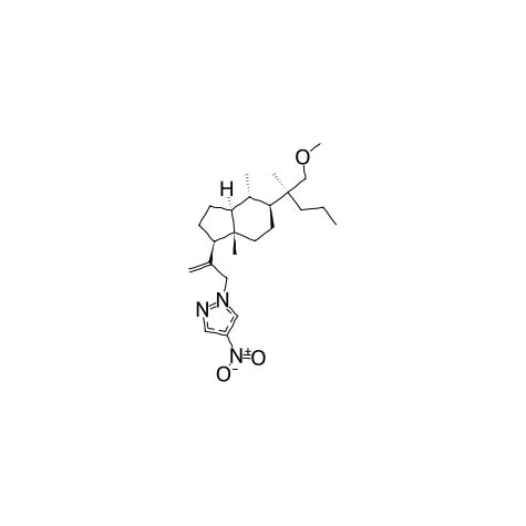 C=C(Cn1cc([N+](=O)[O-])cn1)[C@H]1CC[C@H]2[C@H](C)[C@@H]([C@](C)(CCC)COC)CC[C@]12C